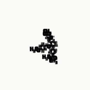 COC(=O)/C=[N+](\[O-])Cc1cccc(-c2ccc(C(=O)N(C)C)cc2)c1OCc1ccc(OC)cc1